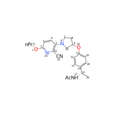 CCCOc1ccc(N2CCC(Oc3ccc([C@H](C)NC(C)=O)cc3)C2)c(C#N)n1